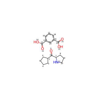 O=C(C1CCCC1)C1CCCN1.O=C(O)c1cccc(C(=O)O)c1